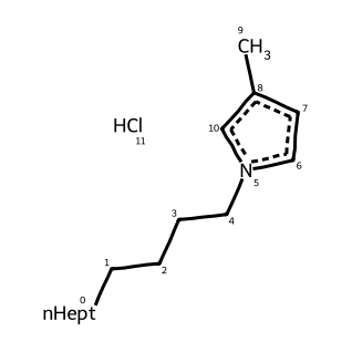 CCCCCCCCCCCn1ccc(C)c1.Cl